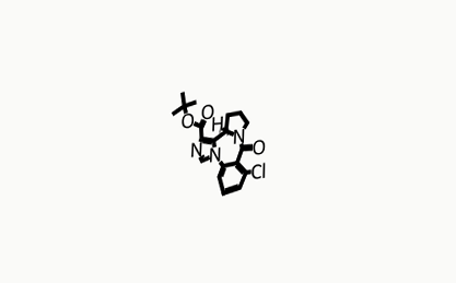 CC(C)(C)OC(=O)c1ncn2c1[C@@H]1CCCN1C(=O)c1c(Cl)cccc1-2